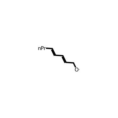 CCCC=CC=CC[O]